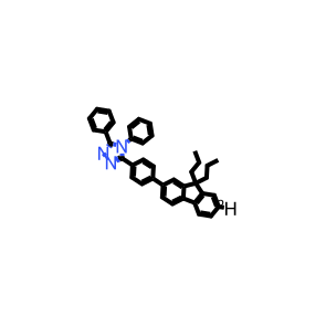 [2H]c1ccc2c(c1)C(CCC)(CCC)c1cc(-c3ccc(-c4nnc(-c5ccccc5)n4-c4ccccc4)cc3)ccc1-2